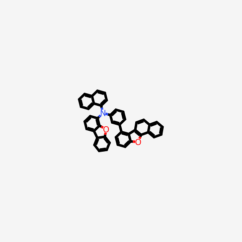 c1cc(-c2cccc3oc4c5ccccc5ccc4c23)cc(N(c2cccc3ccccc23)c2cccc3c2oc2ccccc23)c1